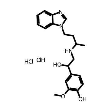 COc1cc(C(O)CNC(C)CCn2cnc3ccccc32)ccc1O.Cl.Cl